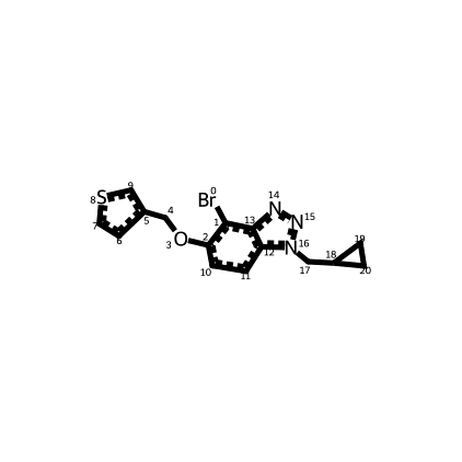 Brc1c(OCc2ccsc2)ccc2c1nnn2CC1CC1